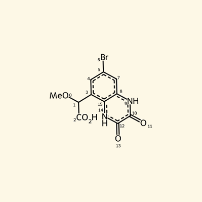 COC(C(=O)O)c1cc(Br)cc2[nH]c(=O)c(=O)[nH]c12